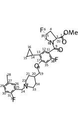 COC(=O)[C@@H]1C[C@@H](F)CN1C(=O)c1cc(C2CC2)c(OCC2CCN(Cc3cc(C)ccc3F)CC2)cc1F